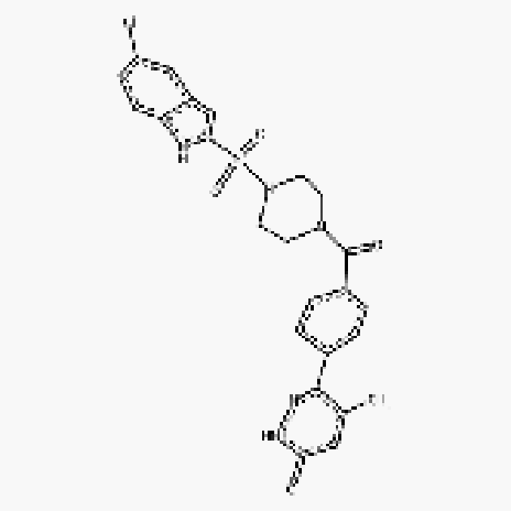 Cc1cc(=O)[nH]nc1-c1ccc(C(=O)N2CCN(S(=O)(=O)c3cc4cc(Cl)ccc4[nH]3)CC2)cc1